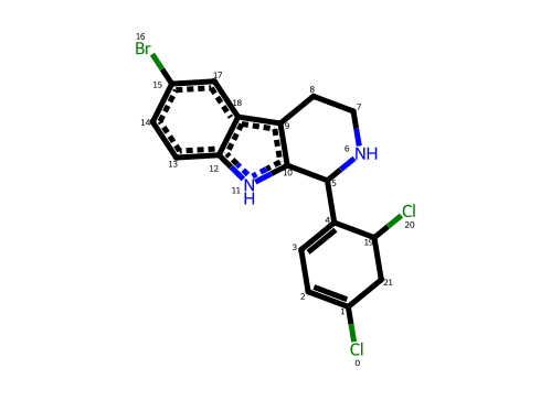 ClC1=CC=C(C2NCCc3c2[nH]c2ccc(Br)cc32)C(Cl)C1